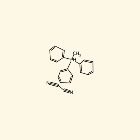 C[PH](c1ccccc1)(c1ccccc1)c1ccccc1.N#CC#N